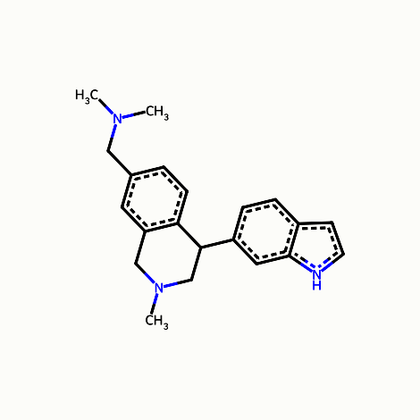 CN(C)Cc1ccc2c(c1)CN(C)CC2c1ccc2cc[nH]c2c1